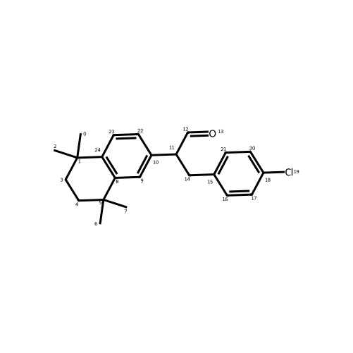 CC1(C)CCC(C)(C)c2cc(C(C=O)Cc3ccc(Cl)cc3)ccc21